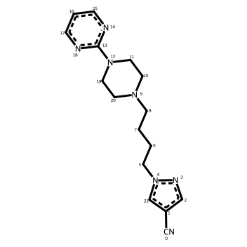 N#Cc1cnn(CCCCN2CCN(c3ncccn3)CC2)c1